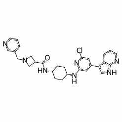 O=C(N[C@H]1CC[C@H](Nc2cc(-c3c[nH]c4ncccc34)cc(Cl)n2)CC1)C1CN(Cc2cccnc2)C1